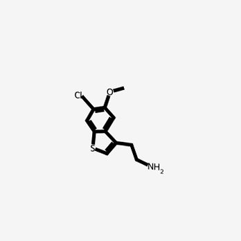 COc1cc2c(CCN)csc2cc1Cl